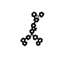 CC1(C)c2cc(-c3ccc4c(c3)c3c(n4-c4ccccc4)CCC=C3)ccc2-c2ccc(N(c3ccc(-c4cccc5ccccc45)cc3)c3ccc(-c4cccc5ccccc45)cc3)cc21